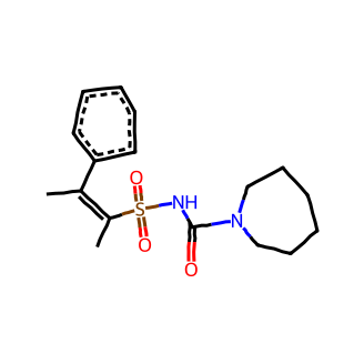 CC(=C(C)S(=O)(=O)NC(=O)N1CCCCCC1)c1ccccc1